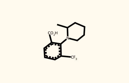 CC1CCCCN1c1c(C(=O)O)cccc1C(F)(F)F